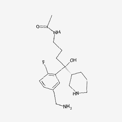 CC(=O)NCCCC(O)(c1cc(CN)ccc1F)[C@@H]1CCCNC1